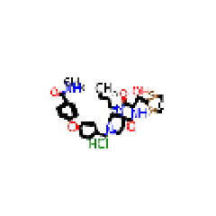 CCCCN1C(=O)[C@@H]([C@@H](O)C2SCCCS2)NC(=O)C12CCN(Cc1ccc(Oc3ccc(C(=O)NC)cc3)cc1)CC2.Cl